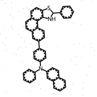 c1ccc(C2Nc3c(ccc4ccc5cc(-c6ccc(N(c7ccccc7)c7ccc8ccccc8c7)cc6)ccc5c34)S2)cc1